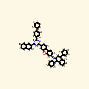 c1ccc(-c2ccc(-c3nc(-c4ccc5ccccc5c4)nc(-c4ccc5c(c4)oc4cc(-n6c7ccccc7c7c8ccccc8c(-c8ccccc8)cc76)ccc45)n3)cc2)cc1